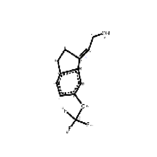 OC/C=C1\CCc2ccc(OC(F)(F)F)cc21